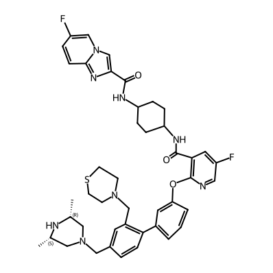 C[C@@H]1CN(Cc2ccc(-c3cccc(Oc4ncc(F)cc4C(=O)NC4CCC(NC(=O)c5cn6cc(F)ccc6n5)CC4)c3)c(CN3CCSCC3)c2)C[C@H](C)N1